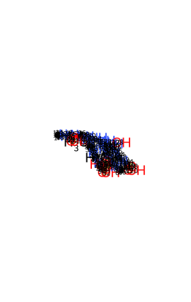 COc1cc(N=Nc2ccc(N=Nc3ccccc3)cc2S(=O)(=O)O)ccc1Cc1nc(Cc2ccc(N=Nc3ccc(N=Nc4ccc(S(=O)(=O)O)cc4)cc3)c(C)c2)nc(NCCCNc2nc(Nc3ccc(N=Nc4ccc(N=Nc5ccccc5)cc4S(=O)(=O)O)c(C)c3)nc(Nc3ccc(N=Nc4ccc(N=Nc5ccc(S(=O)(=O)O)cc5)cc4)cc3CO)n2)n1